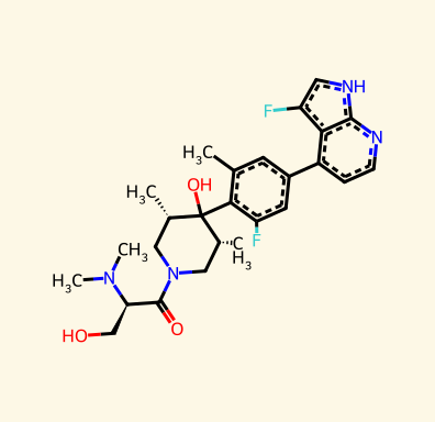 Cc1cc(-c2ccnc3[nH]cc(F)c23)cc(F)c1C1(O)[C@H](C)CN(C(=O)[C@@H](CO)N(C)C)C[C@@H]1C